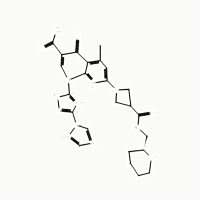 Cc1cc(N2CC(C(=O)NC[C@@H]3CCCCO3)C2)nc2c1c(=O)c(C(=O)O)cn2-c1nc(-n2cncn2)ns1